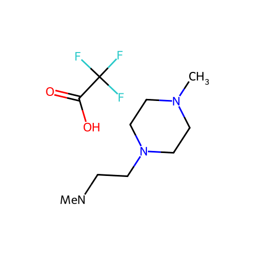 CNCCN1CCN(C)CC1.O=C(O)C(F)(F)F